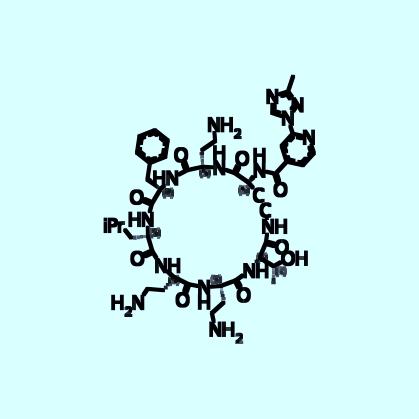 Cc1ncn(-c2cc(C(=O)N[C@H]3CCNC(=O)[C@H]([C@@H](C)O)NC(=O)[C@H](CCN)NC(=O)[C@H](CCN)NC(=O)[C@H](CC(C)C)NC(=O)[C@@H](Cc4ccccc4)NC(=O)[C@H](CCN)NC3=O)ccn2)n1